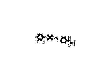 CN(C)C(=O)N[C@H]1CC[C@H](CCN2CC3(C2)CN(c2cccc(Cl)c2Cl)C3)CC1